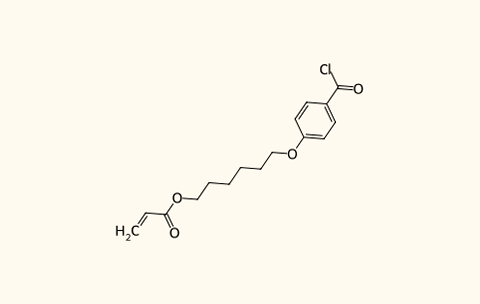 C=CC(=O)OCCCCCCOc1ccc(C(=O)Cl)cc1